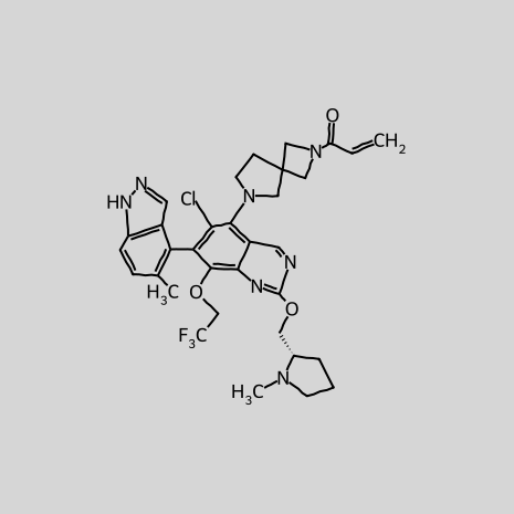 C=CC(=O)N1CC2(CCN(c3c(Cl)c(-c4c(C)ccc5[nH]ncc45)c(OCC(F)(F)F)c4nc(OC[C@@H]5CCCN5C)ncc34)C2)C1